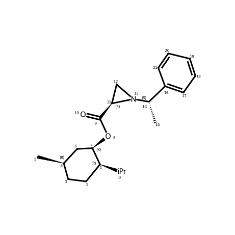 CC(C)[C@H]1CC[C@@H](C)C[C@H]1OC(=O)[C@H]1CN1[C@@H](C)c1ccccc1